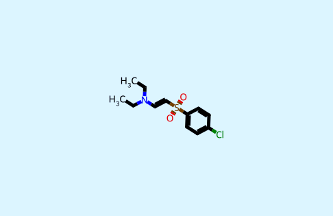 CCN(/C=C/S(=O)(=O)c1ccc(Cl)cc1)CC